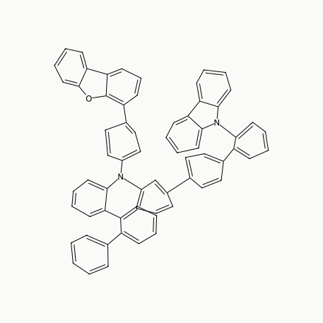 c1ccc(-c2ccccc2-c2ccccc2N(c2ccc(-c3cccc4c3oc3ccccc34)cc2)c2cccc(-c3ccc(-c4ccccc4-n4c5ccccc5c5ccccc54)cc3)c2)cc1